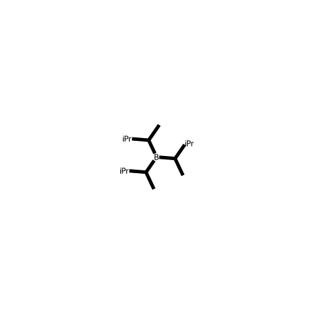 CC(C)C(C)B(C(C)C(C)C)C(C)C(C)C